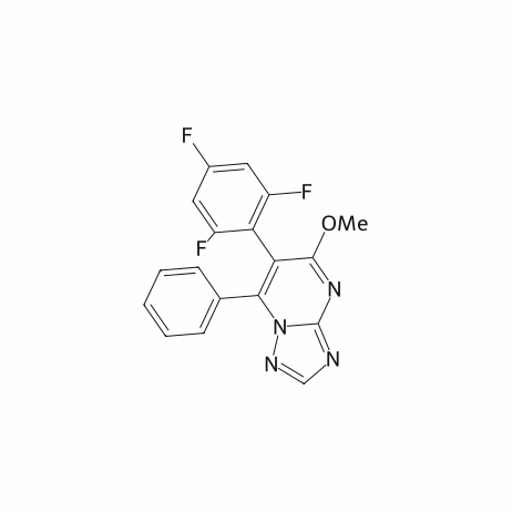 COc1nc2ncnn2c(-c2ccccc2)c1-c1c(F)cc(F)cc1F